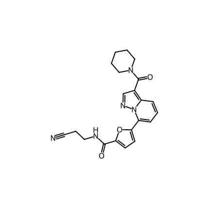 N#CCCNC(=O)c1ccc(-c2cccc3c(C(=O)N4CCCCC4)cnn23)o1